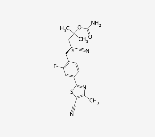 Cc1nc(-c2ccc(C[C@H](C#N)CC(C)(C)OC(N)=O)c(F)c2)sc1C#N